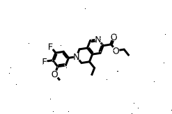 CCOC(=O)c1cc2c(cn1)CN(c1cc(F)c(F)c(OC)c1)CC2CC